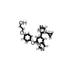 OCCOc1ccc(Oc2cc(-c3nncn3C3CC3)cc3cncn23)cc1